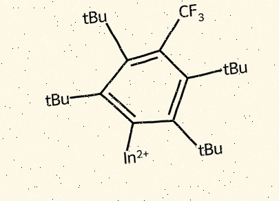 CC(C)(C)c1[c]([In+2])c(C(C)(C)C)c(C(C)(C)C)c(C(F)(F)F)c1C(C)(C)C